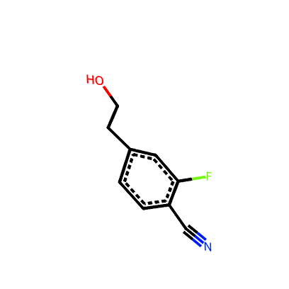 N#Cc1ccc(CCO)cc1F